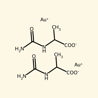 CC(NC(N)=O)C(=O)[O-].CC(NC(N)=O)C(=O)[O-].[Au+].[Au+]